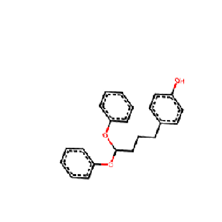 Oc1ccc(CCCC(Oc2ccccc2)Oc2ccccc2)cc1